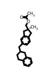 CC(=O)OC[C@@]1(C)Cc2ccc(CC3CCc4ccccc4C3)cc2C1